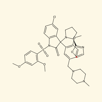 COc1ccc(S(=O)(=O)N2C(=O)C(c3cc(CN4CCN(C)CC4)ccc3OC)(N3CCC[C@H]3c3ncco3)c3cc(Cl)ccc32)c(OC)c1